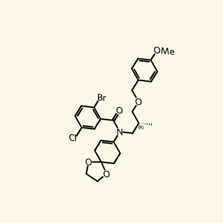 COc1ccc(COC[C@H](C)CN(C(=O)c2cc(Cl)ccc2Br)C2=CCC3(CC2)OCCO3)cc1